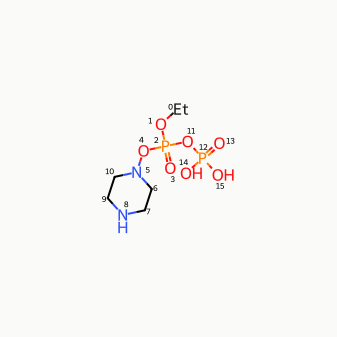 CCOP(=O)(ON1CCNCC1)OP(=O)(O)O